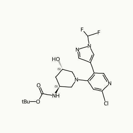 CC(C)(C)OC(=O)N[C@H]1C[C@H](O)CN(c2cc(Cl)ncc2-c2cnn(C(F)F)c2)C1